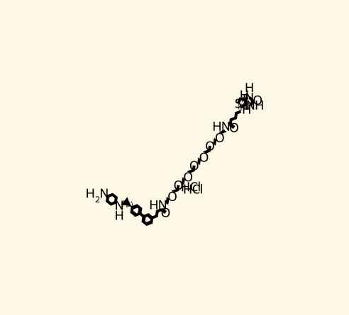 Cl.Cl.N[C@H]1CC[C@H](N[C@@H]2C[C@H]2c2ccc(-c3cccc(CCC(=O)NCCOCCOCCOCCOCCOCCOCCOCCNC(=O)CCCC[C@@H]4SC[C@@H]5NC(=O)N[C@@H]54)c3)cc2)CC1